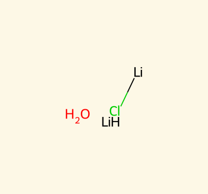 O.[LiH].[Li][Cl]